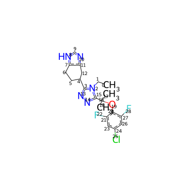 CCn1c(C2CCc3[nH]cnc3C2)nnc1C(C)(C)Oc1c(F)cc(Cl)cc1F